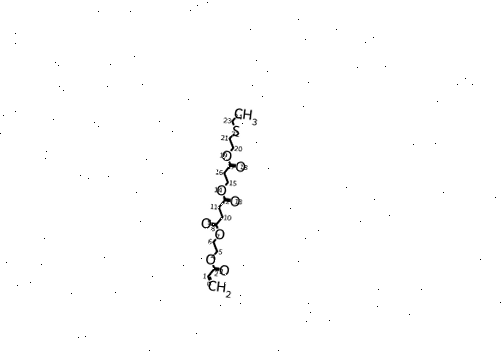 C=CC(=O)OCCOC(=O)CCC(=O)OCCC(=O)OCCSCC